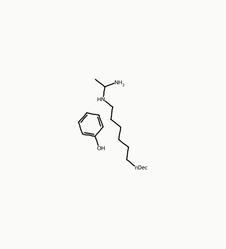 CCCCCCCCCCCCCCCCNC(C)N.Oc1ccccc1